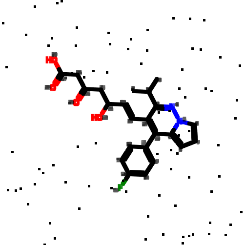 CC(C)c1nn2cccc2c(-c2ccc(F)cc2)c1/C=C/C(O)CC(=O)CC(=O)O